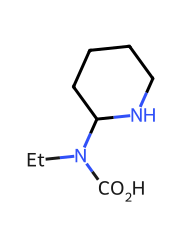 CCN(C(=O)O)C1CCCCN1